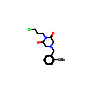 COc1ccccc1CN1CC(=O)N(CCCCl)C(=O)C1